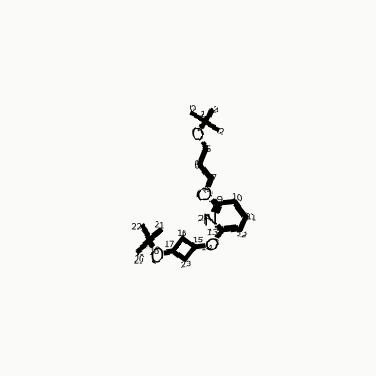 CC(C)(C)OCCCOc1cccc(OC2CC(OC(C)(C)C)C2)n1